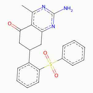 Cc1nc(N)nc2c1C(=O)CC(c1ccccc1S(=O)(=O)c1ccccc1)C2